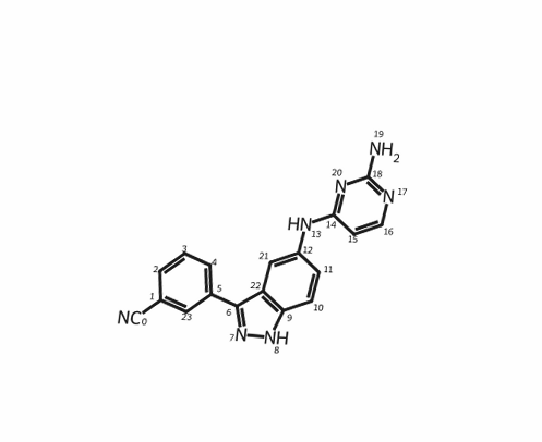 N#Cc1cccc(-c2n[nH]c3ccc(Nc4ccnc(N)n4)cc23)c1